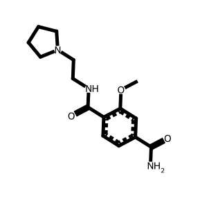 COc1cc(C(N)=O)ccc1C(=O)NCCN1CCCC1